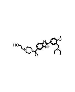 CCN(CC)Cc1cc(-c2nc3ccc(C(=O)N4CCN(CCO)CC4)cc3[nH]2)ccc1OC